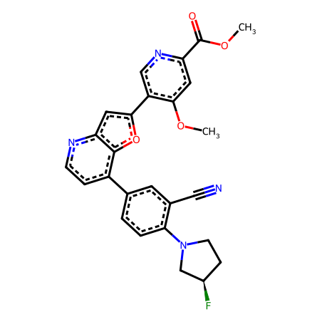 COC(=O)c1cc(OC)c(-c2cc3nccc(-c4ccc(N5CC[C@@H](F)C5)c(C#N)c4)c3o2)cn1